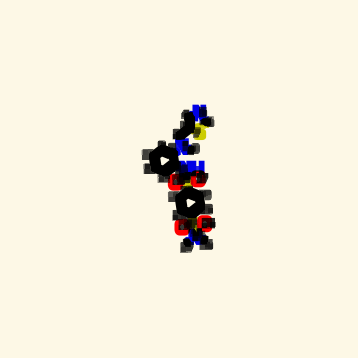 CN(Cc1cncs1)c1ccccc1NS(=O)(=O)c1ccc(S(=O)(=O)N(C)C)cc1